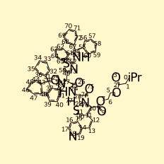 CC(C)CC(=O)OCCOC(=O)C1=C(/C=C\c2cccnc2)CS[C@H]2[C@H](NC(=O)C(=NOC(c3ccccc3)(c3ccccc3)c3ccccc3)c3csc(NC(c4ccccc4)(c4ccccc4)c4ccccc4)n3)C(=O)N12